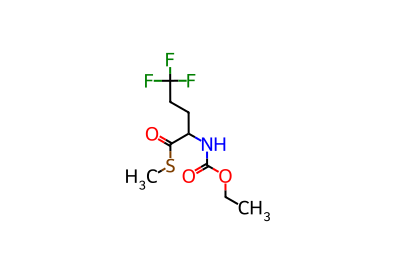 CCOC(=O)NC(CCC(F)(F)F)C(=O)SC